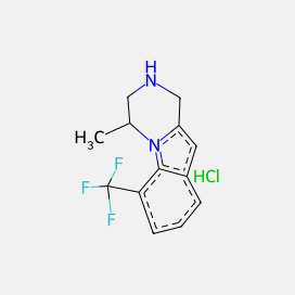 CC1CNCc2cc3cccc(C(F)(F)F)c3n21.Cl